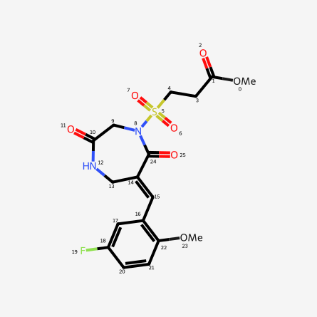 COC(=O)CCS(=O)(=O)N1CC(=O)NC/C(=C\c2cc(F)ccc2OC)C1=O